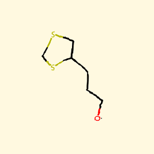 [O]CCCC1CSCS1